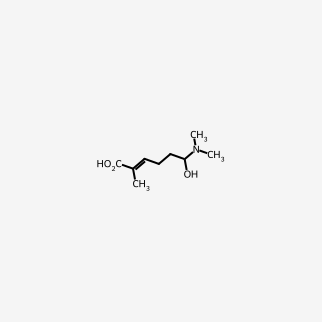 CC(=CCCC(O)N(C)C)C(=O)O